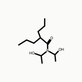 CCCC(CCC)C(=O)N(C(C)O)C(C)O